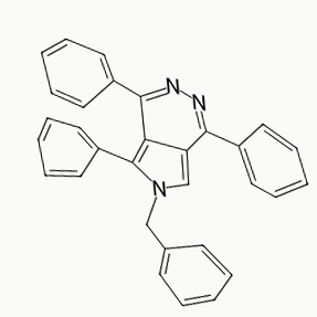 c1ccc(Cn2cc3c(-c4ccccc4)nnc(-c4ccccc4)c3c2-c2ccccc2)cc1